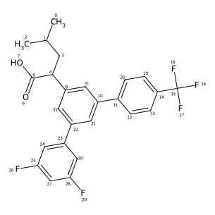 CC(C)CC(C(=O)O)c1cc(-c2ccc(C(F)(F)F)cc2)cc(-c2cc(F)cc(F)c2)c1